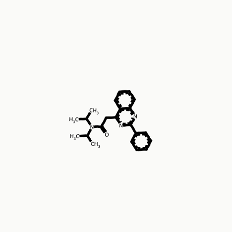 CC(C)N(C(=O)Cc1nc(-c2ccccc2)nc2ccccc12)C(C)C